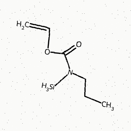 C=COC(=O)N([SiH3])CCC